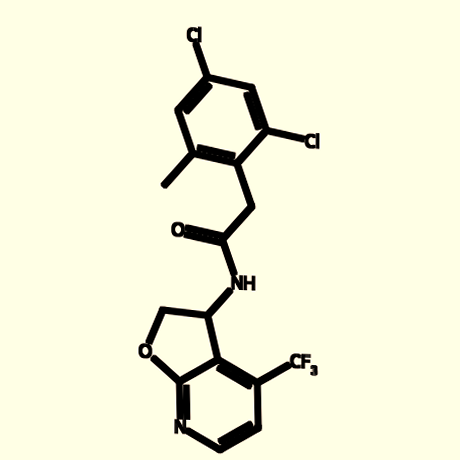 Cc1cc(Cl)cc(Cl)c1CC(=O)NC1COc2nccc(C(F)(F)F)c21